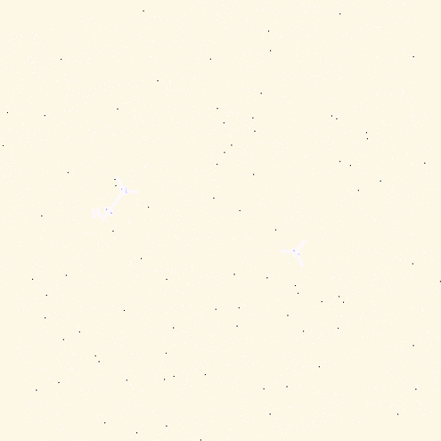 CC(C)CN(C)CCc1ccc(CCN(C)N)cc1